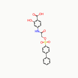 O=C(COS(=O)(=O)c1ccc(-c2ccccc2)cc1)Nc1ccc(C(=O)O)c(O)c1